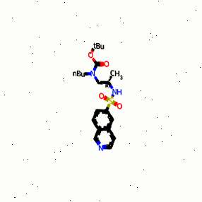 CCCCN(C[C@@H](C)NS(=O)(=O)c1ccc2cnccc2c1)C(=O)OC(C)(C)C